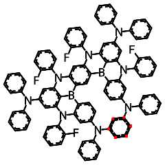 Fc1ccccc1N1c2cc(N(c3ccccc3)c3ccccc3)ccc2B2c3cc4c(cc3N(c3ccccc3F)c3cc(N(c5ccccc5)c5ccccc5)cc1c32)N(c1ccccc1F)c1cc(N(c2ccccc2)c2ccccc2)cc2c1B4c1ccc(N(c3ccccc3)c3ccccc3)cc1N2c1ccccc1F